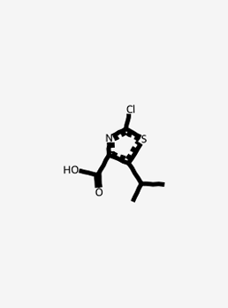 CC(C)c1sc(Cl)nc1C(=O)O